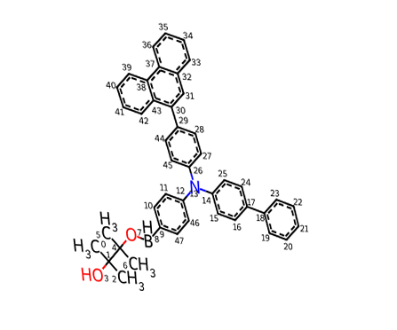 CC(C)(O)C(C)(C)OBc1ccc(N(c2ccc(-c3ccccc3)cc2)c2ccc(-c3cc4ccccc4c4ccccc34)cc2)cc1